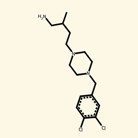 CC(CN)CCN1CCN(Cc2ccc(Cl)c(Cl)c2)CC1